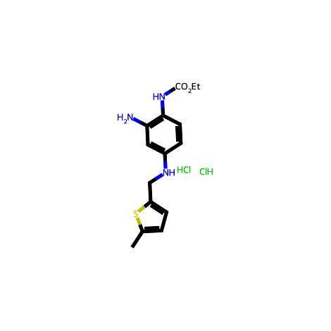 CCOC(=O)Nc1ccc(NCc2ccc(C)s2)cc1N.Cl.Cl